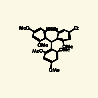 CCc1cc(OC)c(C(c2c(OC)cc(OC)cc2OC)c2c(OC)cc(OC)cc2OC)c(OC)c1